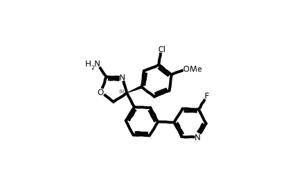 COc1ccc([C@@]2(c3cccc(-c4cncc(F)c4)c3)COC(N)=N2)cc1Cl